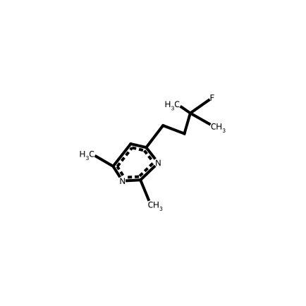 Cc1cc(CCC(C)(C)F)nc(C)n1